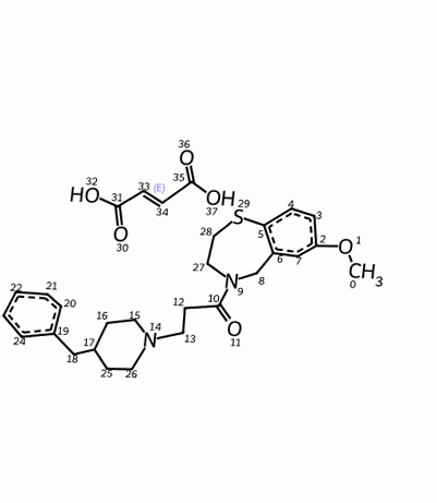 COc1ccc2c(c1)CN(C(=O)CCN1CCC(Cc3ccccc3)CC1)CCS2.O=C(O)/C=C/C(=O)O